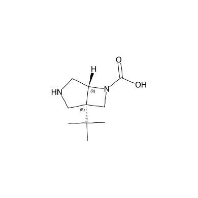 CC(C)(C)[C@]12CNC[C@@H]1N(C(=O)O)C2